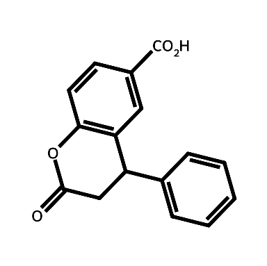 O=C1CC(c2ccccc2)c2cc(C(=O)O)ccc2O1